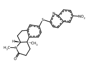 CN1C(=O)CC[C@]2(C)c3ccc(Sc4ccc5cc([N+](=O)[O-])ccc5n4)cc3CC[C@@H]12